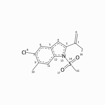 C=C(C)c1cc2cc(Cl)c(C)cc2n1S(C)(=O)=O